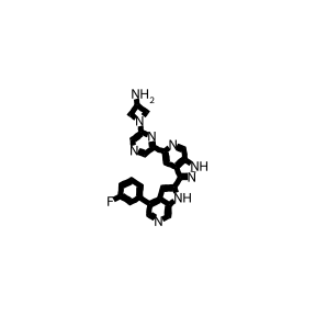 NC1CN(c2cncc(-c3cc4c(-c5cc6c(-c7cccc(F)c7)cncc6[nH]5)n[nH]c4cn3)n2)C1